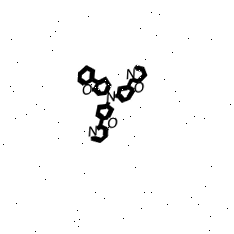 c1ccc2c(c1)oc1cc(N(c3ccc4c(c3)oc3cccnc34)c3ccc4oc5cccnc5c4c3)ccc12